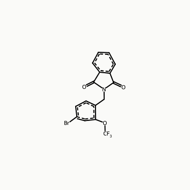 O=C1c2ccccc2C(=O)N1Cc1ccc(Br)cc1OC(F)(F)F